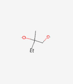 CCC(C)([O])C[O]